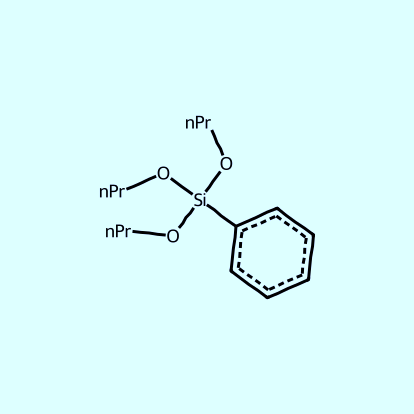 CCCO[Si](OCCC)(OCCC)c1ccccc1